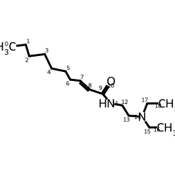 CCCCCCCC=CC(=O)NCCN(CC)CC